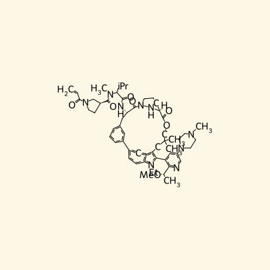 C=CC(=O)N1CC[C@H](C(=O)N(C)C(C(=O)N[C@H]2Cc3cccc(c3)-c3ccc4c(c3)c(c(-c3cc(N5CCN(C)CC5)cnc3[C@H](C)OC)n4CC)CC(C)(C)COC(=O)[C@@H]3CCCN(N3)C2=O)C(C)C)C1